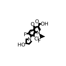 O=C(O)c1cn(C2C[C@@H]2F)c2c(Cl)c(N3CC[C@H](O)C3)c(F)cc2c1=O